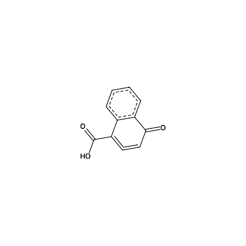 O=C(O)C1=C=CC(=O)c2ccccc21